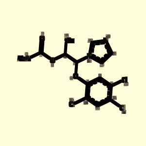 CNC(=O)OC(C(Oc1cc(Cl)c(Cl)cc1Cl)n1ccnc1)C(C)(C)C